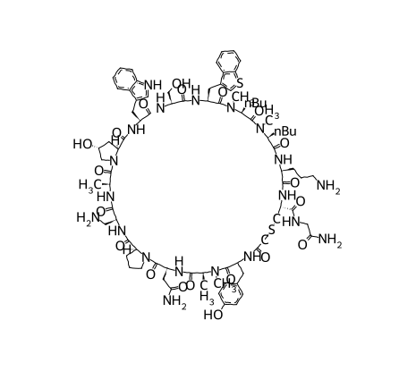 CCCC[C@H]1C(=O)N(C)[C@@H](CCCC)C(=O)N[C@@H](CCCN)C(=O)N[C@H](C(=O)NCC(N)=O)CSCC(=O)NC(Cc2ccc(O)cc2)C(=O)N(C)[C@@H](C)C(=O)N[C@@H](CC(N)=O)C(=O)N2CCC[C@H]2C(=O)N[C@@H](CN)C(=O)N[C@@H](C)C(=O)N2C[C@H](O)C[C@H]2C(=O)N[C@@H](Cc2c[nH]c3ccccc23)C(=O)N[C@@H](CO)C(=O)N[C@@H](Cc2csc3ccccc23)C(=O)N1C